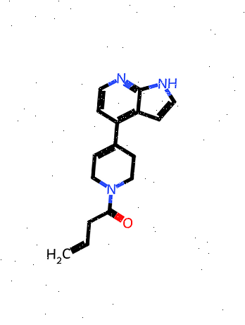 C=CCC(=O)N1CC=C(c2ccnc3[nH]ccc23)CC1